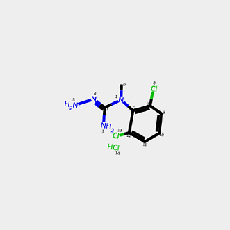 CN(/C(N)=N/N)c1c(Cl)cccc1Cl.Cl